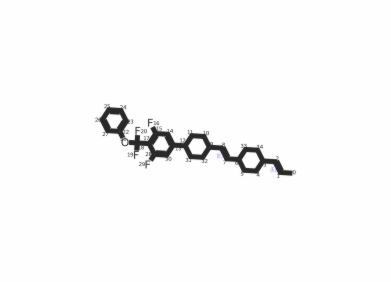 C/C=C/C1CCC(/C=C/C2CCC(c3cc(F)c(C(F)(F)Oc4ccccc4)c(F)c3)CC2)CC1